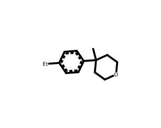 CCc1ccc(C2(C)CCOCC2)cc1